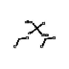 CCCCCCC(Cl)(Cl)CCCCCC.ClCCl.ClCCl